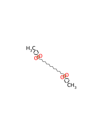 Cc1ccc(S(=O)(=O)CCCCCCCCCCCCCCS(=O)(=O)c2ccc(C)cc2)cc1